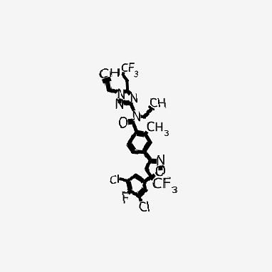 C#CCN(C(=O)c1ccc(C2=NOC(c3cc(Cl)c(F)c(Cl)c3)(C(F)(F)F)C2)cc1C)c1nc(CCC(F)(F)F)n(CC#C)n1